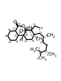 CC(C)[C@@H](C)CC[C@@H](C)[C@H]1CC[C@H]2[C@@H]3OC(=O)C4CCCC[C@]4(C)[C@H]3CC[C@]12C